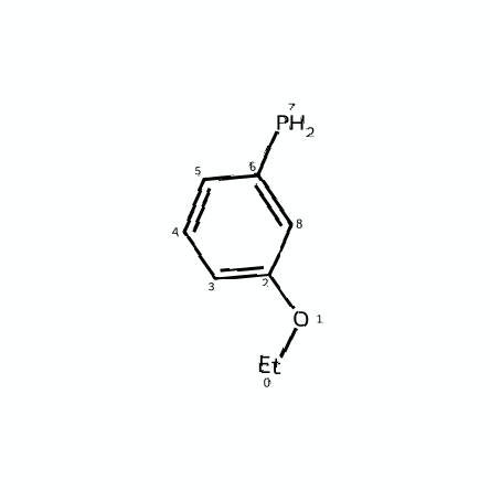 CCOc1cccc(P)c1